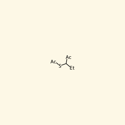 CCC(SC(C)=O)C(C)=O